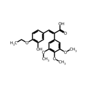 CCOc1ccc(/C=C(/C(=O)O)c2cc(OC)c(OC)c(OC)c2)cc1O